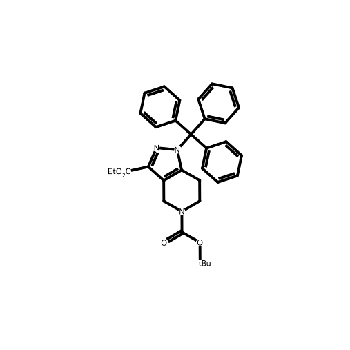 CCOC(=O)c1nn(C(c2ccccc2)(c2ccccc2)c2ccccc2)c2c1CN(C(=O)OC(C)(C)C)CC2